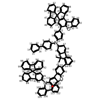 CC1(C)c2cc(N(c3ccc(-c4ccccc4)cc3)c3ccc(-c4cc5c(c6c4oc4ccccc46)-c4ccccc4C54c5ccccc5-c5ccccc54)cc3)ccc2-c2cccc(-c3ccc4c(c3)oc3ccc(N(c5ccc6c(c5)-c5ccccc5C65c6ccccc6-c6ccccc65)c5ccccc5-c5ccccc5)cc34)c21